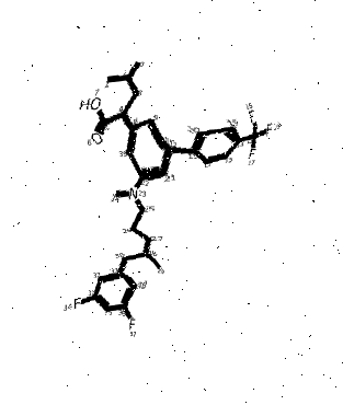 CC(C)CC(C(=O)O)c1cc(-c2ccc(C(F)(F)F)cc2)cc(N(C)CCCC(C)Cc2cc(F)cc(F)c2)c1